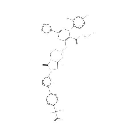 CCOC(=O)C1=C(CN2CCN3C(=O)N(c4nc(-c5ccc(C(C)(C)C(=O)O)cc5)cs4)C[C@@H]3C2)NC(c2nccs2)=N[C@H]1c1ccc(F)cc1Cl